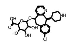 O=C(O)C1OC(OC2Cc3cc(Cl)ccc3C(=C3CCNCC3)c3ncccc32)C(O)C(O)C1O